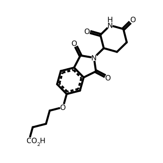 O=C(O)CCCOc1ccc2c(c1)C(=O)N(C1CCC(=O)NC1=O)C2=O